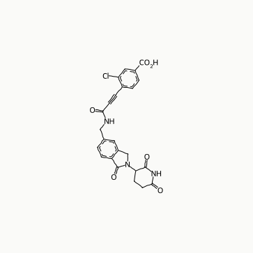 O=C(C#Cc1ccc(C(=O)O)cc1Cl)NCc1ccc2c(c1)CN(C1CCC(=O)NC1=O)C2=O